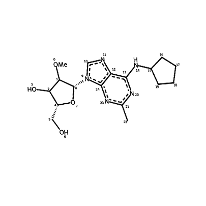 COC1C(O)[C@@H](CO)O[C@H]1n1cnc2c(NC3CCCC3)nc(C)nc21